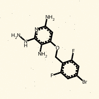 NNc1nc(N)cc(OCc2c(F)cc(Br)cc2F)c1N